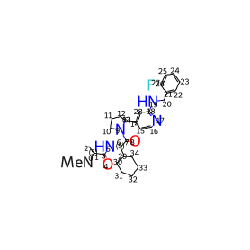 CN[C@@H](C)C(=O)N[C@H](C(=O)N1CCC[C@H]1c1ccnc(NCc2ccccc2F)c1)C1CCCCC1